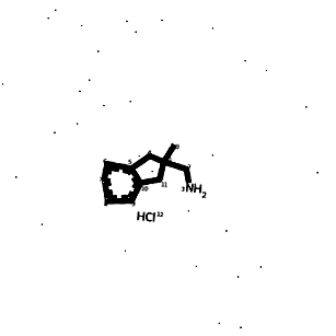 CC1(CN)Cc2ccccc2C1.Cl